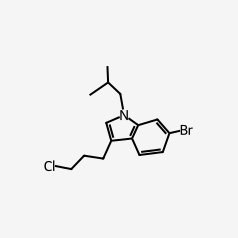 CC(C)Cn1cc(CCCCl)c2ccc(Br)cc21